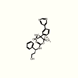 CC1(C)OC(N[C@@H](CCO)c2ccccc2)=NS(=O)(=O)C1(C)c1cccc(-c2cncnc2)c1